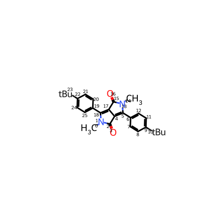 CN1C(=O)C2=C(c3ccc(C(C)(C)C)cc3)N(C)C(=O)C2=C1c1ccc(C(C)(C)C)cc1